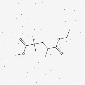 CCOC(=O)C(C)CC(C)(C)C(=O)OC